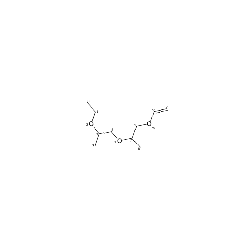 [CH2]COC(C)COC(C)COC=C